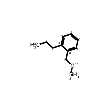 CCCc1ccccc1CO[SiH3]